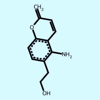 C=C1C=Cc2c(ccc(CCO)c2N)O1